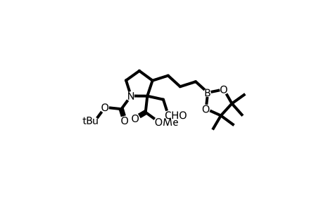 COC(=O)C1(CC=O)C(CCCB2OC(C)(C)C(C)(C)O2)CCN1C(=O)OC(C)(C)C